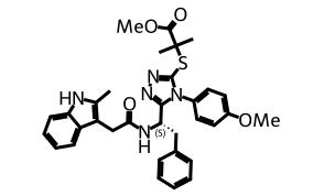 COC(=O)C(C)(C)Sc1nnc([C@H](Cc2ccccc2)NC(=O)Cc2c(C)[nH]c3ccccc23)n1-c1ccc(OC)cc1